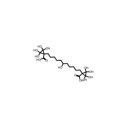 O=C(O)C1(CCCCCC(O)CCCCCC2(C(=O)O)C(O)(O)C2(O)O)C(O)(O)C1(O)O